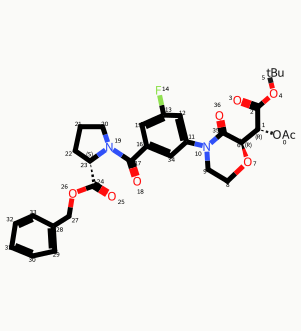 CC(=O)O[C@@H](C(=O)OC(C)(C)C)[C@H]1OCCN(c2cc(F)cc(C(=O)N3CCC[C@H]3C(=O)OCc3ccccc3)c2)C1=O